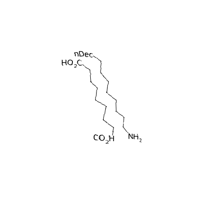 CCCCCCCCCCCCCCCCCCN.O=C(O)CCCCCCCC(=O)O